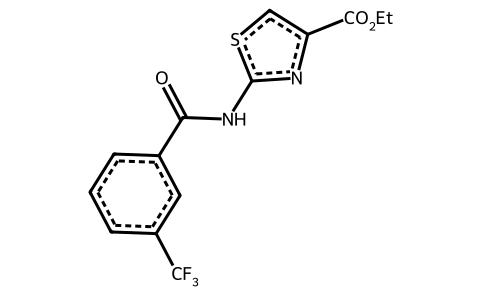 CCOC(=O)c1csc(NC(=O)c2cccc(C(F)(F)F)c2)n1